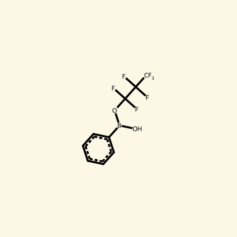 OB(OC(F)(F)C(F)(F)C(F)(F)F)c1ccccc1